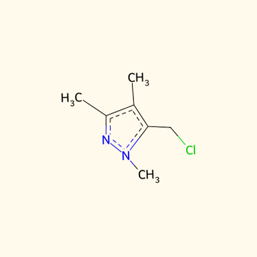 Cc1nn(C)c(CCl)c1C